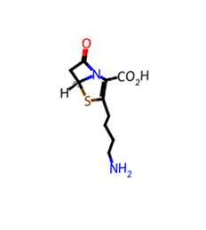 NCCCCC1=C(C(=O)O)N2C(=O)C[C@H]2S1